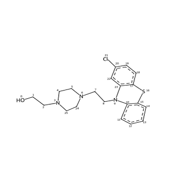 OCCN1CCN(CCN2c3ccccc3Sc3ccc(Cl)cc32)CC1